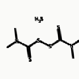 CN(C)C(=S)SSC(=S)N(C)C.S